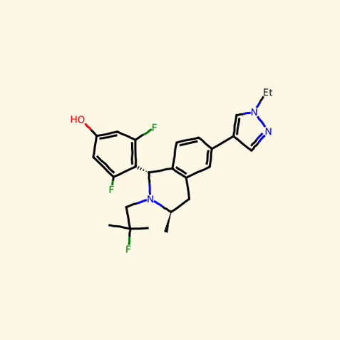 CCn1cc(-c2ccc3c(c2)C[C@@H](C)N(CC(C)(C)F)[C@@H]3c2c(F)cc(O)cc2F)cn1